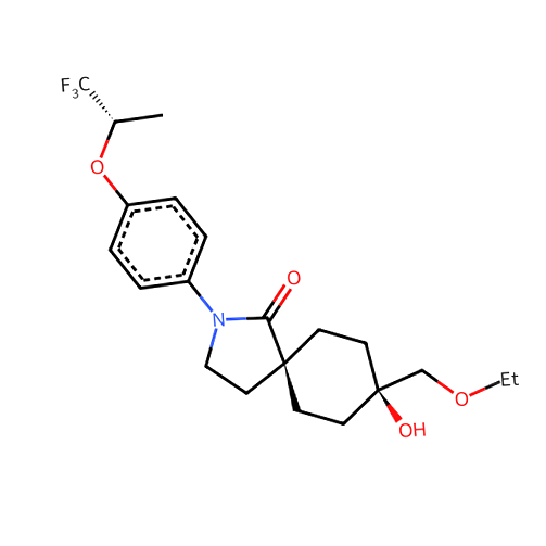 CCOC[C@]1(O)CC[C@]2(CCN(c3ccc(O[C@@H](C)C(F)(F)F)cc3)C2=O)CC1